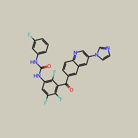 O=C(Nc1cccc(F)c1)Nc1cc(F)c(F)c(C(=O)c2ccc3ncc(-n4ccnc4)cc3c2)c1F